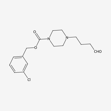 O=CCCCN1CCN(C(=O)OCc2cccc(Cl)c2)CC1